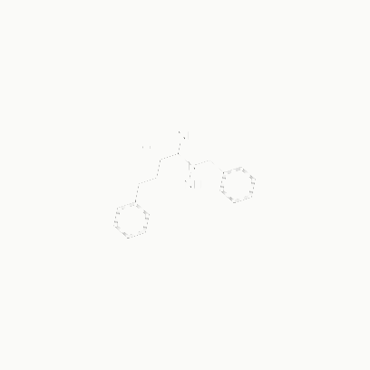 NC([C@@H](O)CCc1ccccc1)N(N)Cc1ccccc1